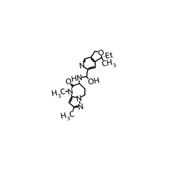 CC[C@@]1(C)OCc2cnc(C(O)N[C@H]3CCn4nc(C)cc4N(C)C3=O)cc21